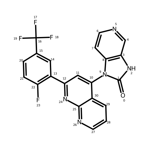 O=c1[nH]c2cnccc2n1-c1cc(-c2cc(C(F)(F)F)ccc2F)nc2ncccc12